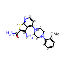 COc1ccccc1N1CCN(c2ccnc3sc(C(N)=O)c(N)c23)CC1